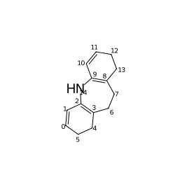 C1=CC2=C(CC1)CCC1=C(C=CCC1)N2